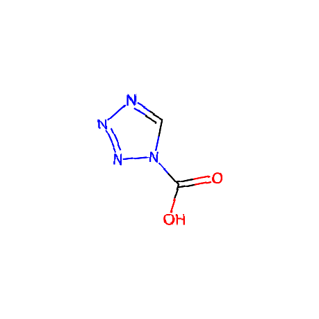 O=C(O)n1cnnn1